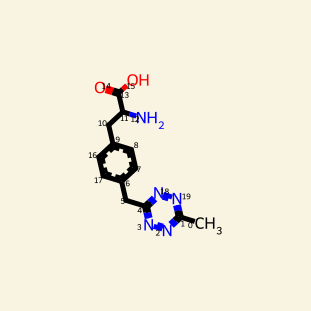 Cc1nnc(Cc2ccc(CC(N)C(=O)O)cc2)nn1